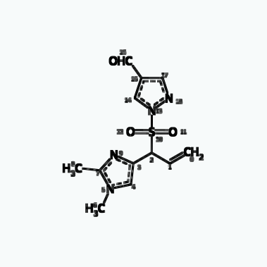 C=CC(c1cn(C)c(C)n1)S(=O)(=O)n1cc(C=O)cn1